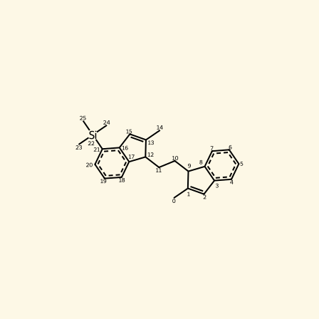 CC1=Cc2ccccc2C1CCC1C(C)=Cc2c1cccc2[Si](C)(C)C